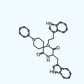 O=C1C(Cc2c[nH]c3ccccc23)NC(=O)C2(CCN(c3ccccc3)CC2)N1CCc1c[nH]c2ccccc12